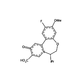 COc1cc2c(cc1F)-c1cc(=O)c(C(=O)O)cn1C(C(C)C)CO2